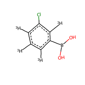 [2H]c1c([2H])c(Cl)c([2H])c(B(O)O)c1[2H]